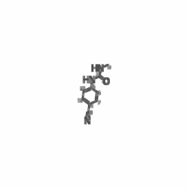 CNC(=O)Nc1ccc(C#N)cc1